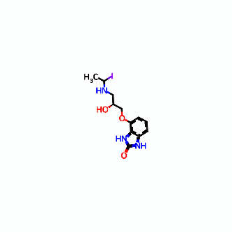 CC(I)NC[C@H](O)COc1cccc2[nH]c(=O)[nH]c12